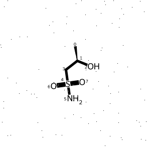 C[C@@H](O)CS(N)(=O)=O